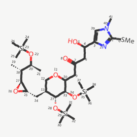 CSc1nc(C(O)CC(=O)CC2OC[C@H](C[C@@H]3O[C@H]3[C@H](C)[C@H](C)O[Si](C)(C)C)[C@@H](O[Si](C)(C)C)[C@@H]2O[Si](C)(C)C)cn1C